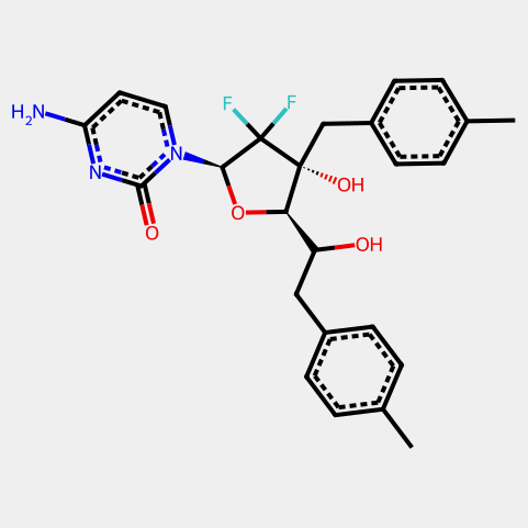 Cc1ccc(CC(O)[C@H]2O[C@@H](n3ccc(N)nc3=O)C(F)(F)[C@@]2(O)Cc2ccc(C)cc2)cc1